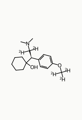 [2H]C([2H])([2H])Oc1ccc([C@@H](C2(O)CCCCC2)C([2H])([2H])N(C)C)cc1